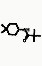 CC1(C)CCC(NC(=O)C(C)(C)C)CC1